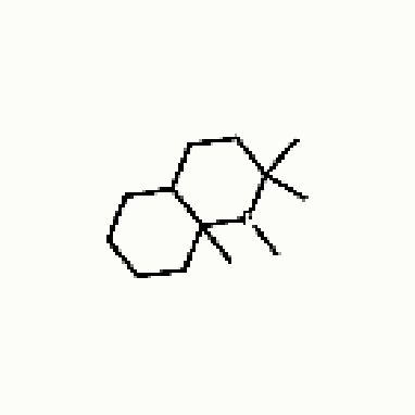 CP1C(C)(C)CCC2CCCCC21C